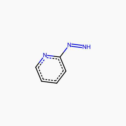 N=Nc1ccccn1